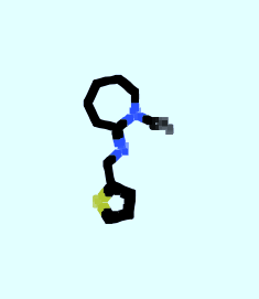 CN1CCCCCC1=NCc1cccs1